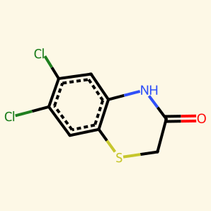 O=C1CSc2cc(Cl)c(Cl)cc2N1